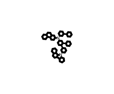 c1ccc(-c2cccc(N(c3ccc(-c4cccc(-n5c6ccccc6c6ccc7ccccc7c65)c4)c(-c4ccccc4)c3)c3ccc4c(ccc5ccccc54)c3)c2)cc1